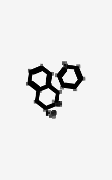 O.c1ccc2c(c1)CCNC2.c1ccncc1